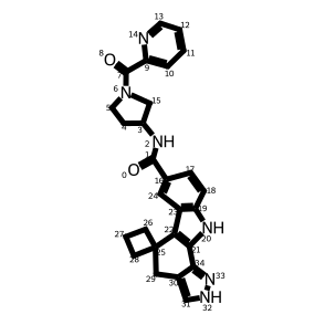 O=C(NC1CCN(C(=O)c2ccccn2)C1)c1ccc2[nH]c3c(c2c1)C1(CCC1)Cc1c[nH]nc1-3